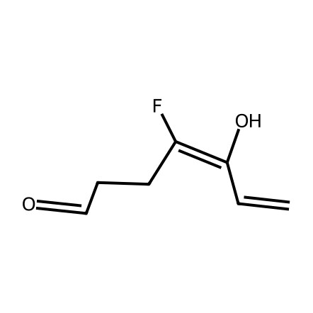 C=C/C(O)=C(/F)CCC=O